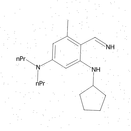 CCCN(CCC)c1cc(C)c(C=N)c(NC2CCCC2)c1